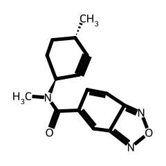 C[C@@H]1C#C[C@@H](N(C)C(=O)c2ccc3nonc3c2)CC1